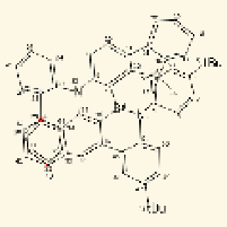 CC(C)(C)c1ccc(N2B3c4c(ccc5c4C(C)(C)c4ccccc4-5)N(c4ccccc4-c4ccccc4)c4c3c(cc3ccccc43)-c3cc(C(C)(C)C)ccc32)cc1